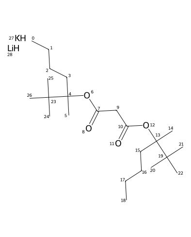 CCCCC(C)(OC(=O)CC(=O)OC(C)(CCCC)C(C)(C)C)C(C)(C)C.[KH].[LiH]